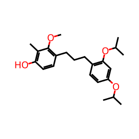 COc1c(CCCc2ccc(OC(C)C)cc2OC(C)C)ccc(O)c1C